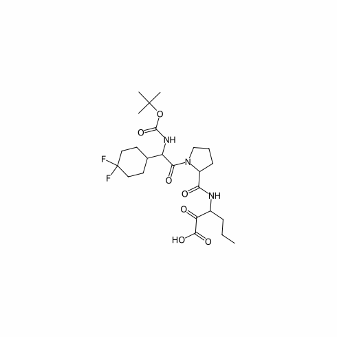 CCCC(NC(=O)C1CCCN1C(=O)C(NC(=O)OC(C)(C)C)C1CCC(F)(F)CC1)C(=O)C(=O)O